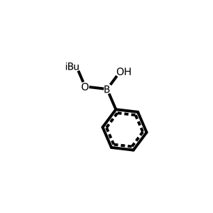 CCC(C)OB(O)c1ccccc1